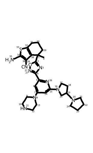 CC1(c2nc(-c3cc(N4CCNCC4)cc(N4CCC(N5CCCC5)C4)n3)no2)CCCc2sc(N)c(C#N)c21